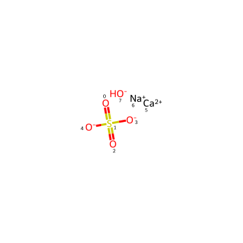 O=S(=O)([O-])[O-].[Ca+2].[Na+].[OH-]